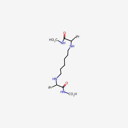 CC(C)C(NCCCCCCNC(C(=O)NC(=O)O)C(C)C)C(=O)NC(=O)O